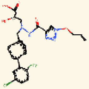 C=CCOn1cc(C(=O)NN(Cc2ccc(-c3cc(Cl)ccc3Cl)cc2)C[C@@H](O)C(=O)O)nn1